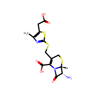 Cc1nc(SCC2=C(C(=O)O)N3C(=O)[C@@H](N)[C@H]3SC2)sc1CC(=O)O